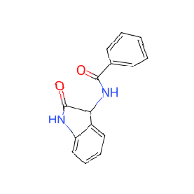 O=C(NC1C(=O)Nc2ccccc21)c1ccccc1